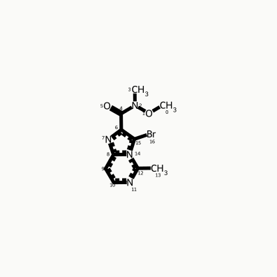 CON(C)C(=O)c1nc2ccnc(C)n2c1Br